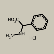 Cl.NNC(C(=O)O)c1ccccc1